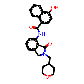 O=C(Nc1cccc2c1C(=O)N(CC1CCOCC1)C2)c1ccc(O)c2ccccc12